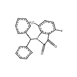 Cc1ccc(F)c2c1N(C(c1ccccc1)c1ccccc1)C(=O)C2=O